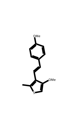 COc1ccc(C=Cc2c(OC)csc2C)cc1